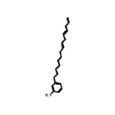 C=CC/C=C/C/C=C/CCCCCCCc1cccc(N)c1